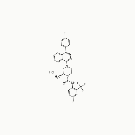 C[C@H]1CN(c2nnc(-c3ccc(F)cc3)c3ccccc23)CCN1C(=O)Nc1ccc(F)cc1C(F)(F)F.Cl